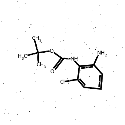 CC(C)(C)OC(=O)Nc1c(N)cccc1Cl